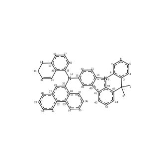 CC1(C)c2ccccc2-n2c3ccc(N(c4cccc5c4C=CCC5)c4cc5ccccc5c5ccccc45)cc3c3cccc1c32